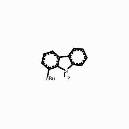 [CH2]CCCc1cccc2c1[SiH2]c1ccccc1-2